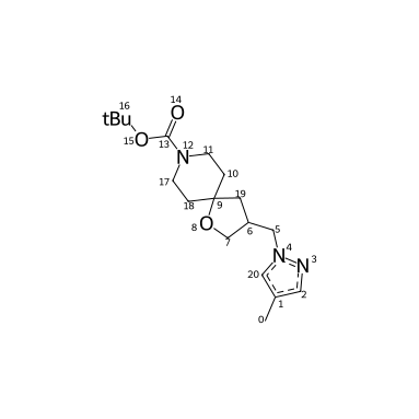 Cc1cnn(CC2COC3(CCN(C(=O)OC(C)(C)C)CC3)C2)c1